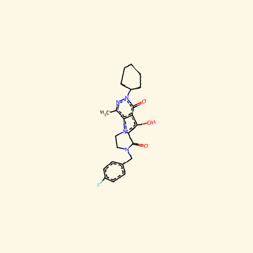 Cc1nn(C2CCCCC2)c(=O)c2c(O)c3n(c12)CCN(Cc1ccc(F)cc1)C3=O